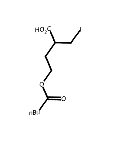 CCCCC(=O)OCCC(CI)C(=O)O